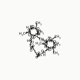 CCCCC[C@H]1NC(=O)[C@H](C)NC(=O)[C@@H](CCCCC)NC(=O)[C@H](CCCCNC(=O)CCSC2CC(=O)N(CCCCCCN3C(=O)CC(SCCC(=O)NCCCC[C@@H]4NC(=O)[C@@H](CCCCC)NC(=O)[C@H](C)NC(=O)[C@@H](CCCCC)NC(=O)[C@H](C)NC(=O)[C@@H](CCCCC)NC4=O)C3=O)C2=O)NC(=O)[C@@H](CCCCC)NC(=O)[C@H](C)NC1=O